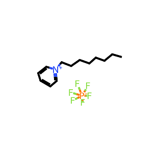 CCCCCCCC[n+]1ccccc1.F[P-](F)(F)(F)(F)F